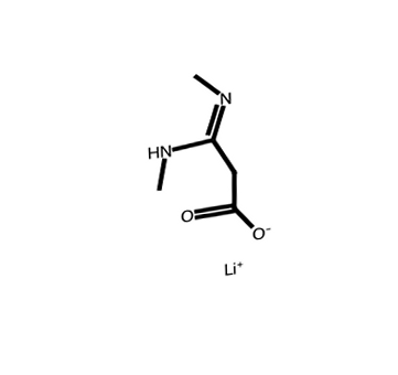 CN=C(CC(=O)[O-])NC.[Li+]